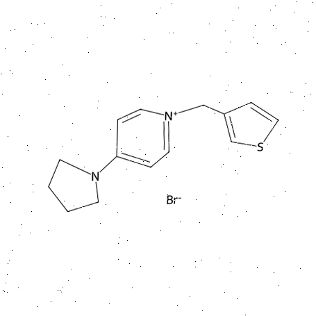 [Br-].c1cc(C[n+]2ccc(N3CCCC3)cc2)cs1